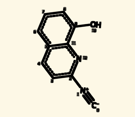 [C-]#[N+]c1ccc2cccc(O)c2n1